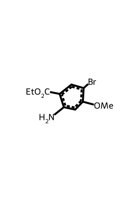 CCOC(=O)c1cc(Br)c(OC)cc1N